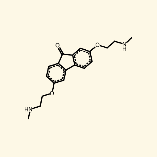 CNCCOc1ccc2c(c1)C(=O)c1ccc(OCCNC)cc1-2